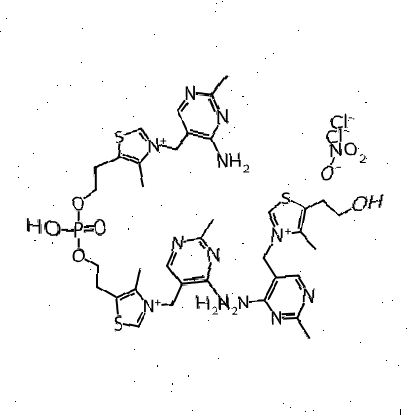 Cc1ncc(C[n+]2csc(CCO)c2C)c(N)n1.Cc1ncc(C[n+]2csc(CCOP(=O)(O)OCCc3sc[n+](Cc4cnc(C)nc4N)c3C)c2C)c(N)n1.O=[N+]([O-])[O-].[Cl-].[Cl-]